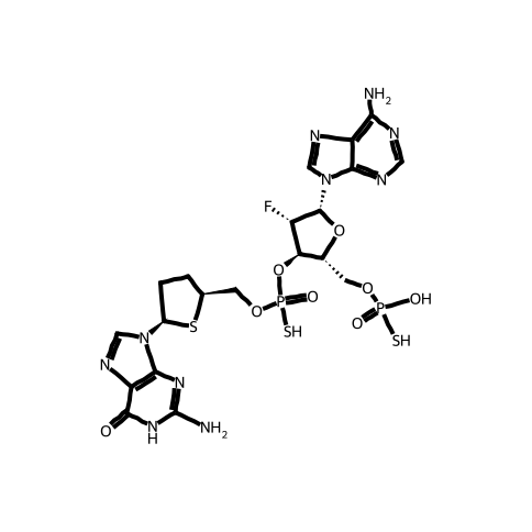 Nc1nc2c(ncn2[C@H]2CC[C@@H](COP(=O)(S)O[C@H]3[C@H](F)[C@H](n4cnc5c(N)ncnc54)O[C@@H]3COP(=O)(O)S)S2)c(=O)[nH]1